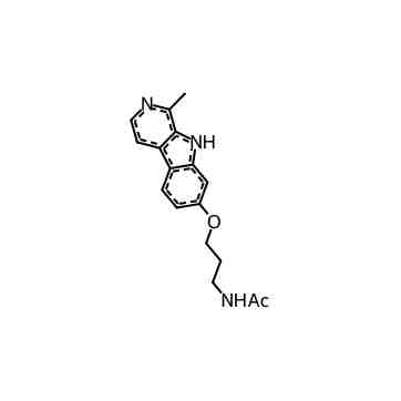 CC(=O)NCCCOc1ccc2c(c1)[nH]c1c(C)nccc12